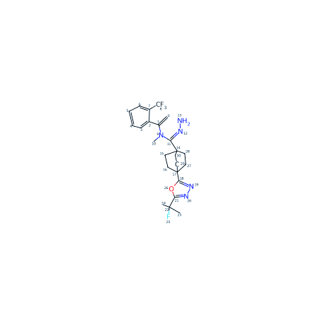 C=C(c1ccccc1C(F)(F)F)N(C)/C(=N\N)C12CCC(c3nnc(C(C)(C)F)o3)(CC1)CC2